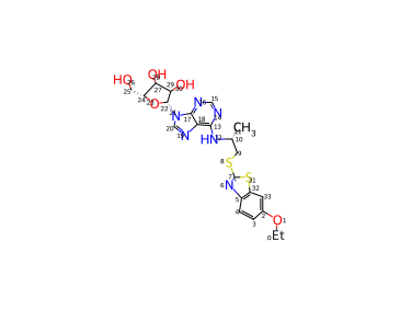 CCOc1ccc2nc(SC[C@@H](C)Nc3ncnc4c3ncn4[C@@H]3O[C@H](CO)C(O)C3O)sc2c1